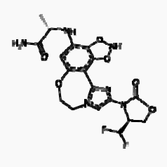 C[C@H](Nc1cc2c(c3c1ONO3)-c1nc(N3C(=O)OC[C@H]3C(F)F)cn1CCO2)C(N)=O